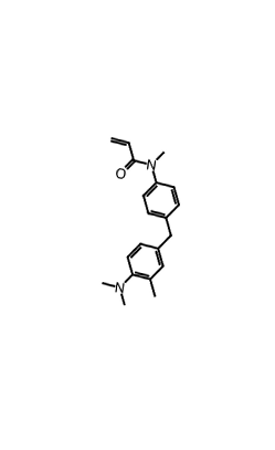 C=CC(=O)N(C)c1ccc(Cc2ccc(N(C)C)c(C)c2)cc1